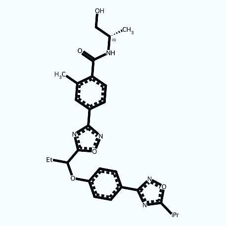 CCC(Oc1ccc(-c2noc(C(C)C)n2)cc1)c1nc(-c2ccc(C(=O)N[C@@H](C)CO)c(C)c2)no1